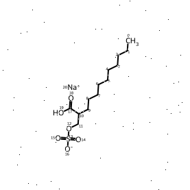 CCCCCCCCCCC(COS(=O)(=O)[O-])C(=O)O.[Na+]